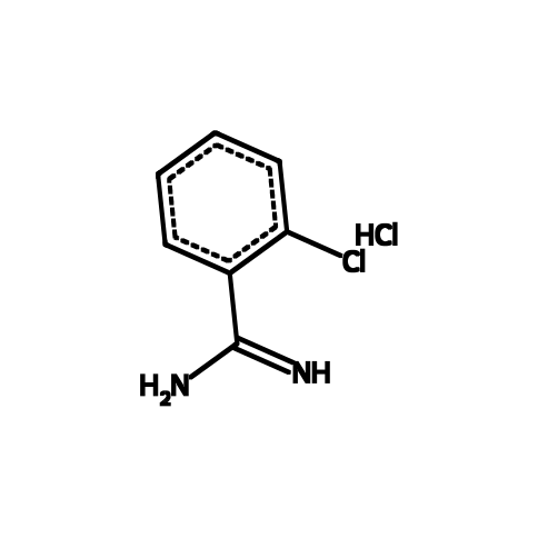 Cl.N=C(N)c1ccccc1Cl